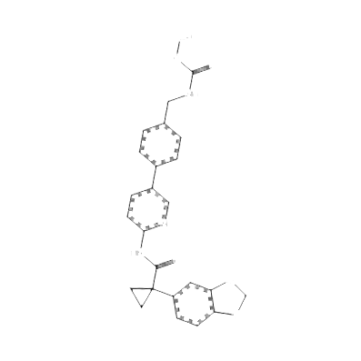 CC(C)(C)OC(=O)NCc1ccc(-c2ccc(NC(=O)C3(c4ccc5c(c4)OCO5)CC3)nc2)cc1